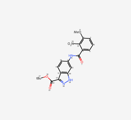 COc1cccc(C(=O)Nc2ccc3c(C(=O)OC(C)(C)C)n[nH]c3c2)c1[N+](=O)[O-]